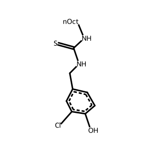 CCCCCCCCNC(=S)NCc1ccc(O)c(Cl)c1